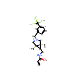 C=CC(=O)NCC1[C@H]2CN(Cc3cccc(C(F)(F)F)c3)C[C@@H]12